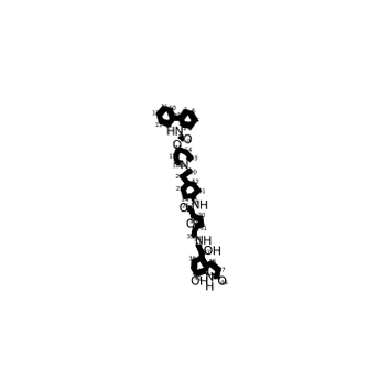 O=C(Nc1ccccc1-c1ccccc1)OC1CCN(CCC2CCC(NC(=O)c3ccc(CNCC(O)c4ccc(O)c5[nH]c(=O)ccc45)o3)CC2)CC1